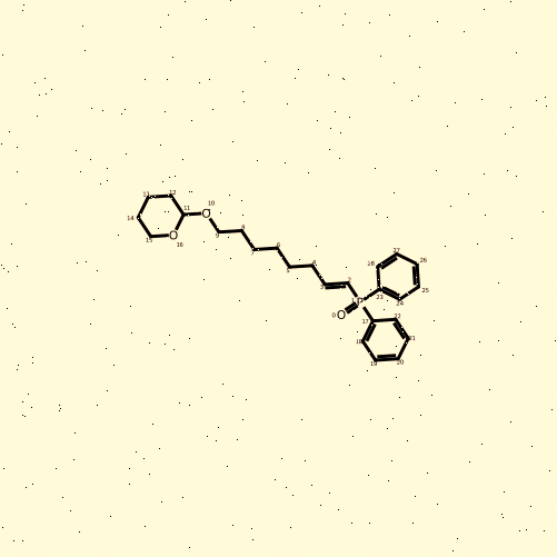 O=P(C=CCCCCCCOC1CCCCO1)(c1ccccc1)c1ccccc1